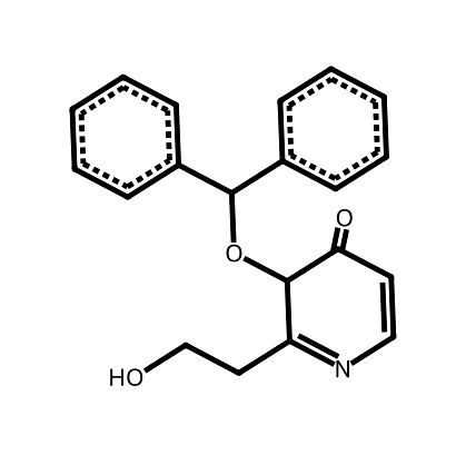 O=C1C=CN=C(CCO)C1OC(c1ccccc1)c1ccccc1